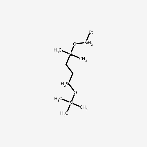 CC[SiH2]O[Si](C)(C)CC[SiH2]O[Si](C)(C)C